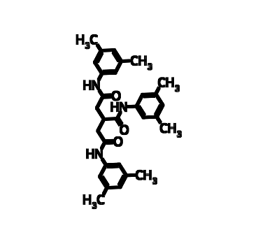 Cc1cc(C)cc(NC(=O)CC(CC(=O)Nc2cc(C)cc(C)c2)C(=O)Nc2cc(C)cc(C)c2)c1